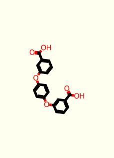 O=C(O)c1cccc(Oc2ccc(Oc3cccc(C(=O)O)c3)cc2)c1